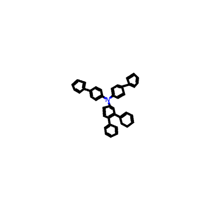 C1=CCCC(c2cc(N(c3ccc(-c4ccccc4)cc3)c3ccc(-c4ccccc4)cc3)ccc2-c2ccccc2)=C1